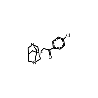 O=C(C[N+]12CC3CN(CN(C3)C1)C2)c1ccc(Cl)cc1